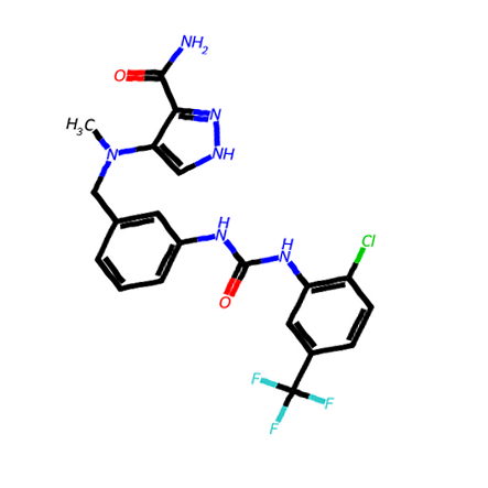 CN(Cc1cccc(NC(=O)Nc2cc(C(F)(F)F)ccc2Cl)c1)c1c[nH]nc1C(N)=O